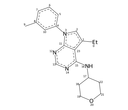 CCc1cn(-c2cccc(C)c2)c2ncnc(NC3CCOCC3)c12